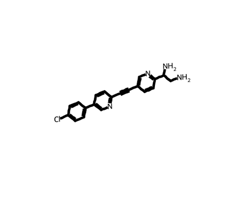 NCC(N)c1ccc(C#Cc2ccc(-c3ccc(Cl)cc3)cn2)cn1